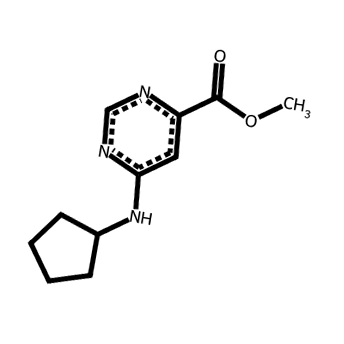 COC(=O)c1cc(NC2CCCC2)ncn1